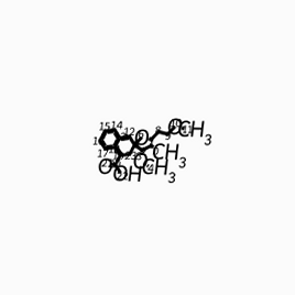 CCC(OC)C1(OCCCOC)C=c2ccccc2=C(C(=O)O)C1